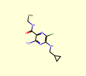 CSCNC(=O)c1nc(Cl)c(NCC2CC2)nc1N